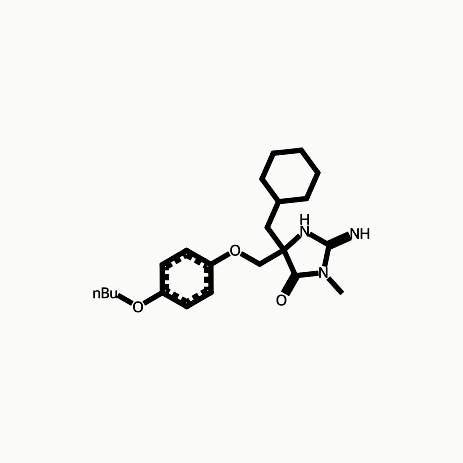 CCCCOc1ccc(OCC2(CC3CCCCC3)NC(=N)N(C)C2=O)cc1